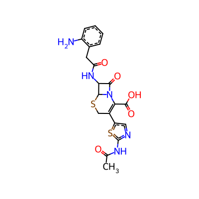 CC(=O)Nc1ncc(C2=C(C(=O)O)N3C(=O)C(NC(=O)Cc4ccccc4N)C3SC2)s1